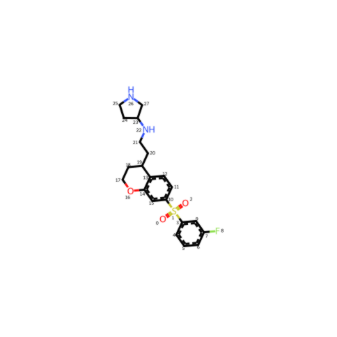 O=S(=O)(c1cccc(F)c1)c1ccc2c(c1)OCCC2CCNC1CCNC1